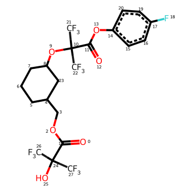 O=C(OCC1CCCC(OC(C(=O)Oc2ccc(F)cc2)(C(F)(F)F)C(F)(F)F)C1)C(O)(C(F)(F)F)C(F)(F)F